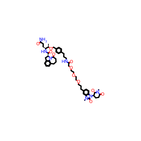 C[C@@H](OCc1ccc(CCCNC(=O)COCCOCCOCCCc2ccc3c(c2)n(C)c(=O)n3C2CCC(=O)N(C)C2=O)cc1)[C@H](CCC(N)=O)NC(=O)[C@@H]1Cc2cccc3c2N1C(=O)CCC3